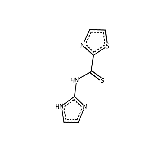 S=C(Nc1ncc[nH]1)c1nccs1